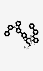 C\C=C/C=c1/oc2cc(-c3ccc4c(c3)c3ccccc3n4-c3cccc(-c4ccccc4)c3)ccc2/c1=C1\N=C(c2cccc(-c3ccccc3)c2)c2ccccc2N1C